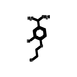 CC(C(=O)O)c1ccc(OCCCl)c(Br)c1